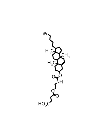 CC(C)CCCCC1CCC2C1(C)CCC1C3(C)CCC(OC(=O)NCCOC(=O)CCC(=O)O)CC3=CCC12C